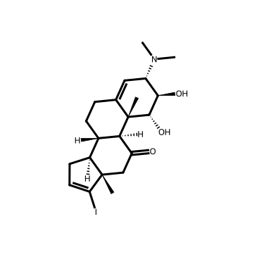 CN(C)[C@H]1C=C2CC[C@@H]3[C@H](C(=O)C[C@]4(C)C(I)=CC[C@@H]34)[C@@]2(C)[C@@H](O)[C@@H]1O